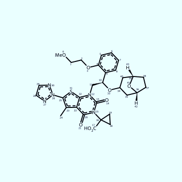 COCCOc1ccccc1[C@H](Cn1c(=O)n(C2(C(=O)O)CC2)c(=O)c2c(C)c(-n3nccn3)sc21)OC1C[C@H]2CC[C@@H](C1)O2